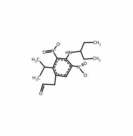 CCC(CC)Nc1c([N+](=O)[O-])cc(CC=O)c(C(C)C)c1[N+](=O)[O-]